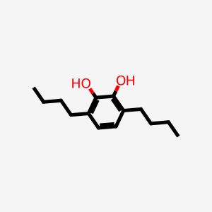 CCCCc1ccc(CCCC)c(O)c1O